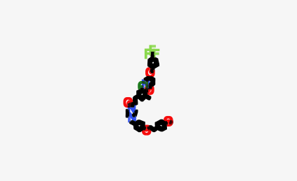 COc1ccc(CCOc2ccc(CN3CCN(C(=O)C=Cc4cc(C)c(Oc5ccc(OCc6ccc(C(F)(F)F)cc6)cn5)c(Cl)c4)CC3)cc2)cc1